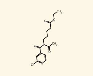 CCOC(=O)CCCCC(C(C)=O)C(=O)c1ccnc(Cl)c1